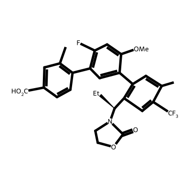 CC[C@@H](c1cc(C(F)(F)F)c(C)cc1-c1cc(-c2ccc(C(=O)O)cc2C)c(F)cc1OC)N1CCOC1=O